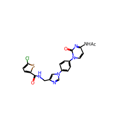 CC(=O)Nc1ccn(-c2ccc(-n3cnc(CNC(=O)c4ccc(Cl)s4)c3)cc2)c(=O)n1